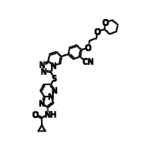 N#Cc1cc(-c2ccc3nnc(Sc4ccc5nc(NC(=O)C6CC6)cn5n4)n3c2)ccc1OCCOC1CCCCO1